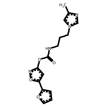 Cc1cn(CCCNC(=O)Oc2cc(-c3ccco3)on2)cn1